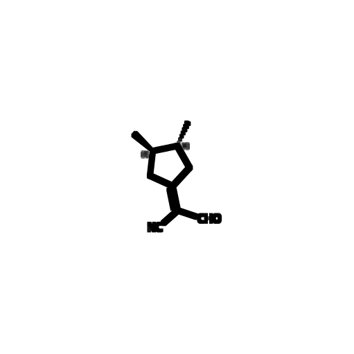 C[C@@H]1CC(=C(C#N)C=O)C[C@H]1C